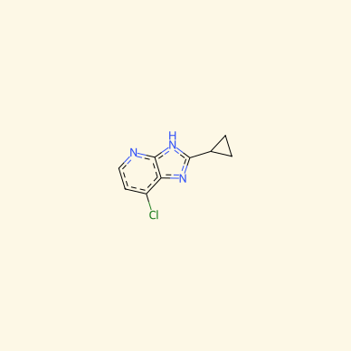 Clc1ccnc2[nH]c(C3CC3)nc12